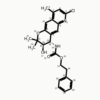 Cc1cc(Cl)nc2cc3c(cc12)OC(C)(C)[C@H](O)[C@H]3NC(=O)OCCc1ccccc1